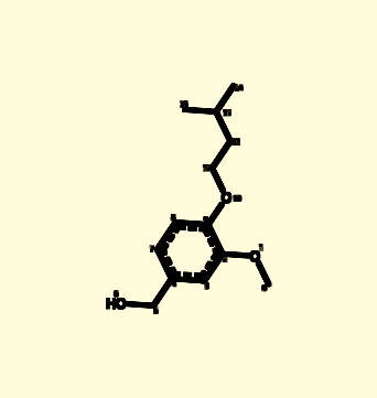 COc1cc(CO)ccc1OCCC(C)C